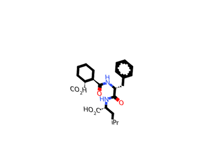 CC(C)C[C@@H](NC(=O)[C@@H](Cc1ccccc1)NC(=O)[C@@H]1CCCC[C@H]1C(=O)O)C(=O)O